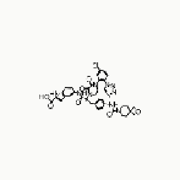 O=C(O)c1cc2cc(NC(=O)[C@H](Cc3ccc(NC(=O)N4CCC5(CC4)COC5)cc3)N3CCN(c4cc(Cl)ccc4-n4cnnn4)C(=O)C3=O)ccc2[nH]1